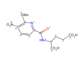 COc1nc(C(=O)NC(CCC(=O)O)C(=O)O)ccc1[N+](=O)[O-]